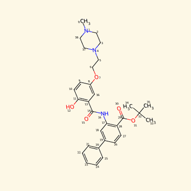 CN1CCN(CCOc2ccc(O)c(C(=O)Nc3cc(-c4ccccc4)ccc3C(=O)OC(C)(C)C)c2)CC1